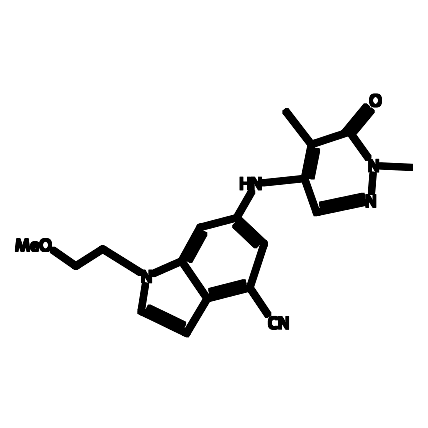 COCCn1ccc2c(C#N)cc(Nc3cnn(C)c(=O)c3C)cc21